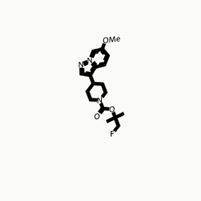 COc1ccc2c(C3CCN(C(=O)OC(C)(C)CF)CC3)cnn2c1